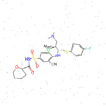 CO[C@@H](CN(C)C)[C@H](CSc1ccc(F)cc1)Nc1c(Cl)cc(S(=O)(=O)NC(=O)[C@@]2(C)CCCCO2)cc1C#N